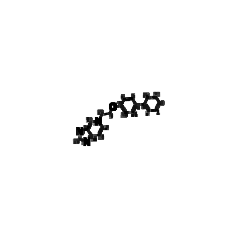 c1ccc(-c2ccc(OCCn3ccc4ncnc-4c3)cc2)cc1